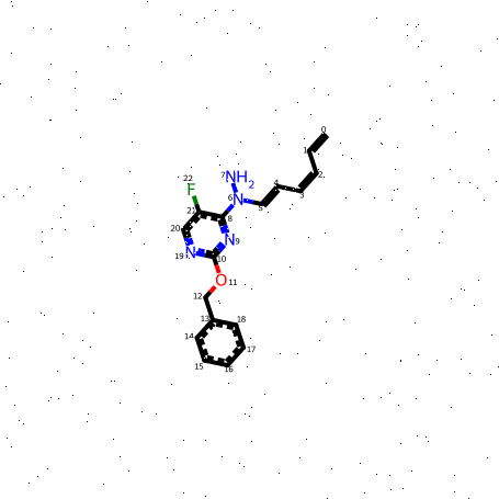 C=C/C=C\C=C\N(N)c1nc(OCc2ccccc2)ncc1F